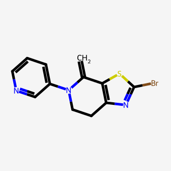 C=C1c2sc(Br)nc2CCN1c1cccnc1